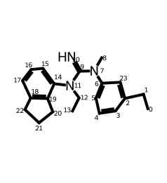 CCc1cccc(N(C)C(=N)N(CC)c2cccc3c2CCC3)c1